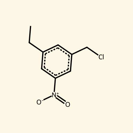 CCc1cc(CCl)cc([N+](=O)[O-])c1